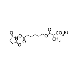 C=C(C(=O)OCC)C(=O)OCCCCCC(=O)ON1C(=O)CCC1=O